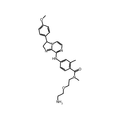 COc1ccc(C2CN=C3C(Nc4ccc(C(=O)N(C)CCOCCN)c(C)c4)=NC=CN32)cc1